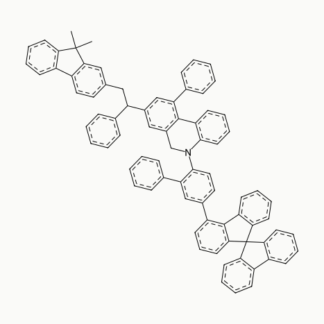 CC1(C)c2ccccc2-c2ccc(CC(c3ccccc3)c3cc4c(c(-c5ccccc5)c3)-c3ccccc3N(c3ccc(-c5cccc6c5-c5ccccc5C65c6ccccc6-c6ccccc65)cc3-c3ccccc3)C4)cc21